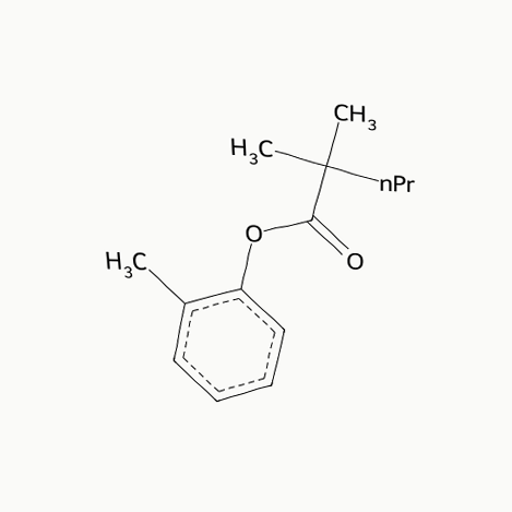 CCCC(C)(C)C(=O)Oc1ccccc1C